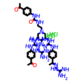 CC(=O)c1ccc(NC(=O)NCCN(CCNC(=NNC(=N)N)Nc2ccc(C(C)=O)cc2)CCNC(=NNC(=N)N)Nc2ccc(C(C)=NNC(=N)N)cc2)cc1.Cl.Cl.Cl